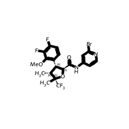 COc1c([C@@H]2[C@@H](C(=O)Nc3ccnc(Br)c3)O[C@](C)(C(F)(F)F)[C@@H]2C)ccc(F)c1F